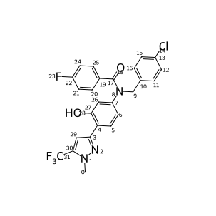 Cn1nc(-c2ccc(N(Cc3ccc(Cl)cc3)C(=O)c3ccc(F)cc3)cc2O)cc1C(F)(F)F